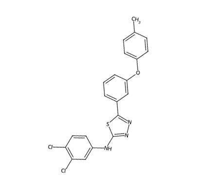 Cc1ccc(Oc2cccc(-c3nnc(Nc4ccc(Cl)c(Cl)c4)s3)c2)cc1